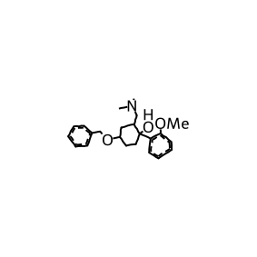 COc1ccccc1C1(O)CCC(OCc2ccccc2)CC1CN(C)C